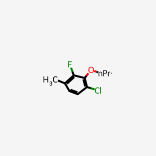 CC[CH]Oc1c(Cl)ccc(C)c1F